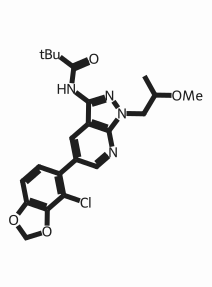 COC(C)Cn1nc(NC(=O)C(C)(C)C)c2cc(-c3ccc4c(c3Cl)OCO4)cnc21